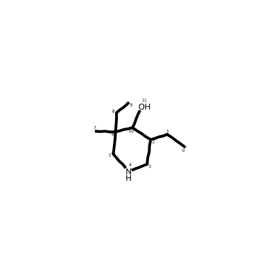 CCC1CNCC(C)(CC)C1O